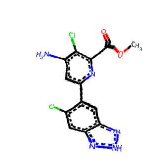 COC(=O)c1nc(-c2cc3n[nH]nc3cc2Cl)cc(N)c1Cl